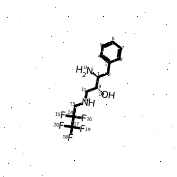 N[C@@H](Cc1ccccc1)[C@H](O)CNCC(F)(F)C(F)(F)F